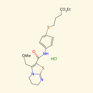 CCOC(=O)CCCSc1ccc(NC(=O)C2=C(COC)N3CCCN=C3S2)cc1.Cl